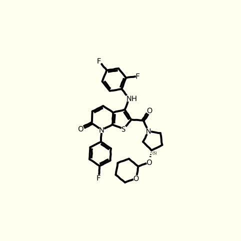 O=C(c1sc2c(ccc(=O)n2-c2ccc(F)cc2)c1Nc1ccc(F)cc1F)N1CC[C@H](OC2CCCCO2)C1